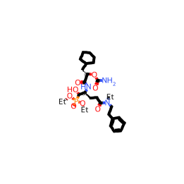 CCOP(=O)(OCC)C(O)[C@H](CCC(=O)N(CC)CCc1ccccc1)NC(=O)[C@H](CC1CCCCC1)OC(N)=O